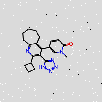 Cn1cc(-c2c3c(nc(C4CCC4)c2-c2nnn[nH]2)CCCCC3)ccc1=O